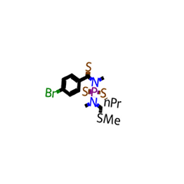 CCCSP(=S)(N(C)CSC)N(C)C(=S)c1ccc(Br)cc1